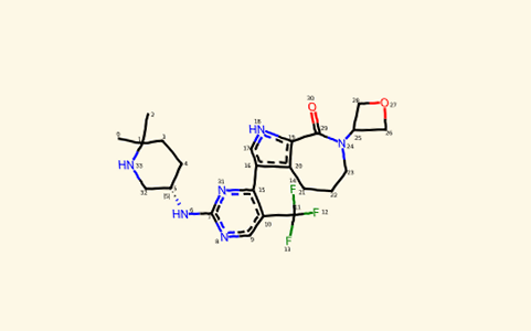 CC1(C)CC[C@H](Nc2ncc(C(F)(F)F)c(-c3c[nH]c4c3CCCN(C3COC3)C4=O)n2)CN1